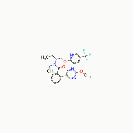 CC[C@@H](COc1ccc(C(F)(F)F)cn1)N(CC)C(=O)c1ccccc1-c1cnc(OC)nc1